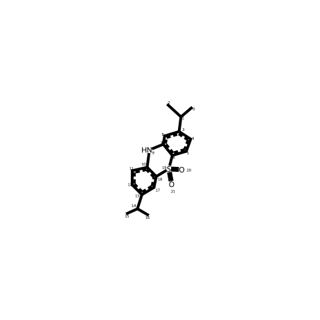 CC(C)c1ccc2c(c1)Nc1ccc(C(C)C)cc1S2(=O)=O